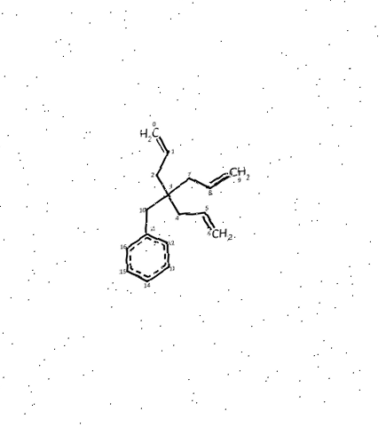 C=CCC(CC=C)(CC=C)Cc1ccccc1